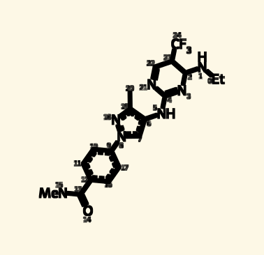 CCNC1N=C(Nc2cn(-c3ccc(C(=O)NC)cc3)nc2C)N=CC1C(F)(F)F